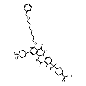 C[C@@H](Nc1nn(C)c(=O)c2c(OCCCCCCCOCc3ccccc3)nc(N3CCS(=O)(=O)CC3)cc12)c1cccc(C(F)(F)C2CCN(C(=O)O)CC2)c1F